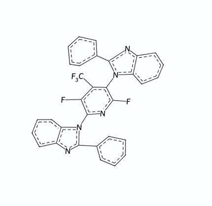 Fc1nc(-n2c(-c3ccccc3)nc3ccccc32)c(F)c(C(F)(F)F)c1-n1c(-c2ccccc2)nc2ccccc21